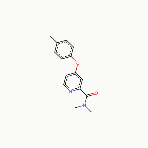 Cc1ccc(Oc2ccnc(C(=O)N(C)C)c2)cc1